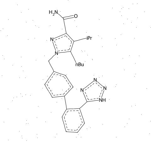 CCCCc1c(C(C)C)c(C(N)=O)nn1Cc1ccc(-c2ccccc2-c2nnn[nH]2)cc1